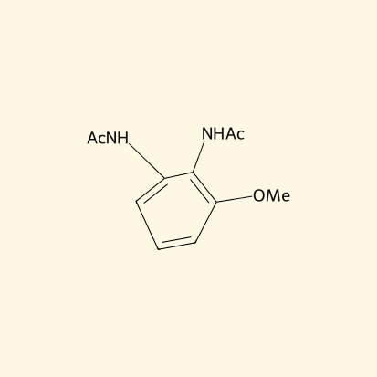 COc1cccc(NC(C)=O)c1NC(C)=O